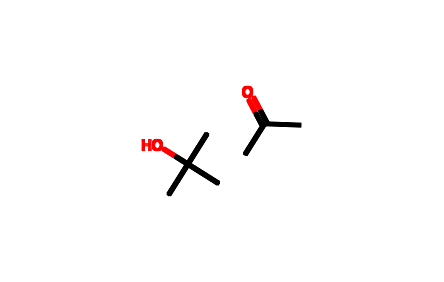 CC(C)(C)O.CC(C)=O